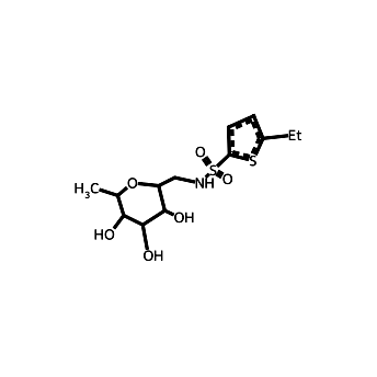 CCc1ccc(S(=O)(=O)NCC2OC(C)C(O)C(O)C2O)s1